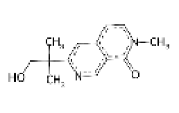 Cn1ccc2cc(C(C)(C)CO)ncc2c1=O